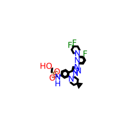 O=S(=O)(CCO)Nc1ccc(-c2cn(-c3ccc(F)c(N4CCC(F)(F)CC4)n3)nn2)c(N2CCC3(CC2)CC3)c1